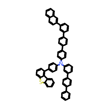 c1ccc(-c2ccc(-c3cccc(N(c4ccc(-c5ccc(-c6cccc(-c7ccc8ccccc8c7)c6)cc5)cc4)c4ccc(-c5cccc6sc7ccccc7c56)cc4)c3)cc2)cc1